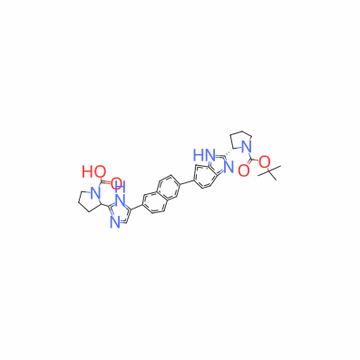 CC(C)(C)OC(=O)N1CCC[C@H]1c1nc2ccc(-c3ccc4cc(-c5cnc(C6CCCN6C(=O)O)[nH]5)ccc4c3)cc2[nH]1